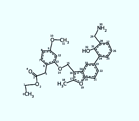 CCOC(=O)Cc1ccc(OC)cc1OCc1c(C)oc2ccc(-c3cccc(CN)c3O)cc12